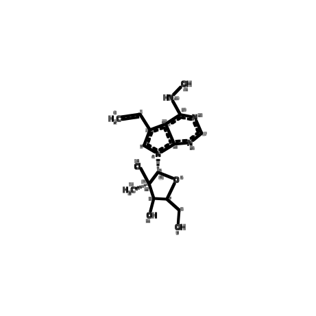 C=Cc1cn([C@@H]2OC(CO)C(O)[C@@]2(C)Cl)c2ncnc(NO)c12